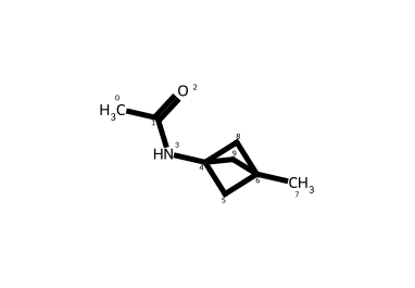 CC(=O)NC12CC(C)(C1)C2